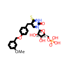 COc1cccc(COc2ccc(Cc3cn([C@@H]4O[C@H](COP(=O)(O)O)[C@@H](O)[C@H]4O)c(=O)[nH]c3=S)cc2)c1